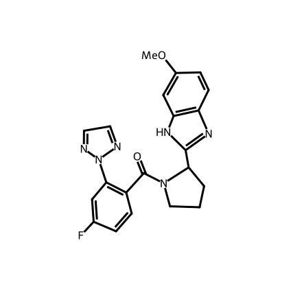 COc1ccc2nc(C3CCCN3C(=O)c3ccc(F)cc3-n3nccn3)[nH]c2c1